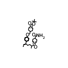 C/C=C(\CCC(C)C(=O)N1CCC(C(N)=O)CC1)c1ccc(OCC2CCN(C(=O)OC(C)(C)C)CC2)cc1